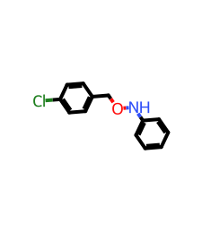 Clc1ccc(CONc2ccccc2)cc1